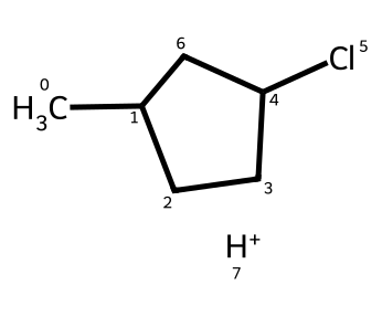 CC1CCC(Cl)C1.[H+]